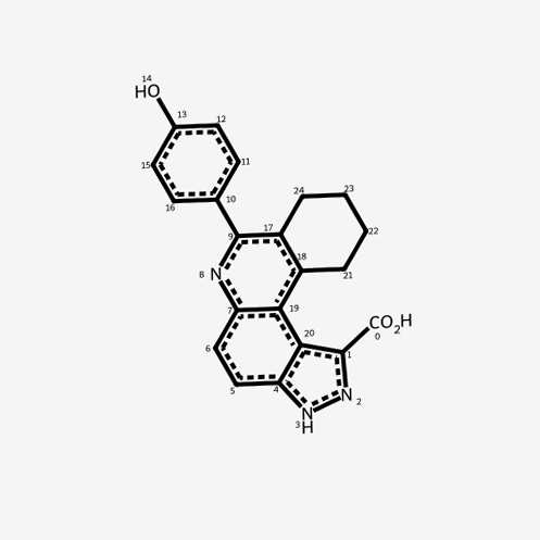 O=C(O)c1n[nH]c2ccc3nc(-c4ccc(O)cc4)c4c(c3c12)CCCC4